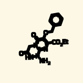 CCOC(=O)c1nc2n(c(=O)c1OCc1ccccc1)CC(=O)NN2N